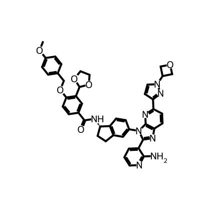 COc1ccc(COc2ccc(C(=O)N[C@H]3CCc4cc(-n5c(-c6cccnc6N)nc6ccc(-c7ccn(C8COC8)n7)nc65)ccc43)cc2C2OCCO2)cc1